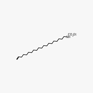 C=CCCCCCCCCCCCCCCCCCCNC(=O)OCC